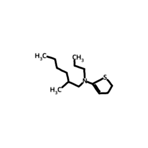 CCCCC(C)CN(CCC)C1=CCCS1